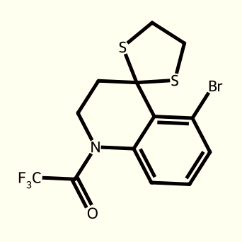 O=C(N1CCC2(SCCS2)c2c(Br)cccc21)C(F)(F)F